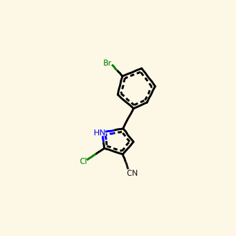 N#Cc1cc(-c2cccc(Br)c2)[nH]c1Cl